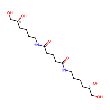 O=C(CCCC(=O)NCCCC[C@H](O)CO)NCCCC[C@H](O)CO